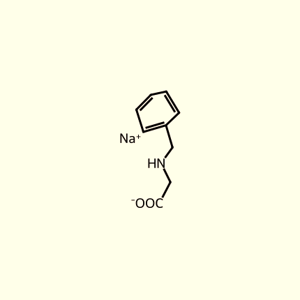 O=C([O-])CNCc1ccccc1.[Na+]